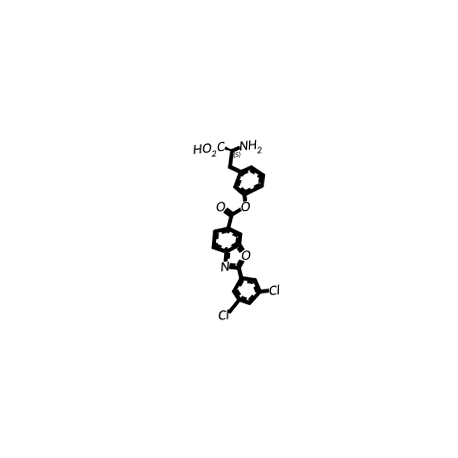 N[C@@H](Cc1cccc(OC(=O)c2ccc3nc(-c4cc(Cl)cc(Cl)c4)oc3c2)c1)C(=O)O